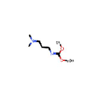 CCCCOC(=NCCCN(C)C)OCC